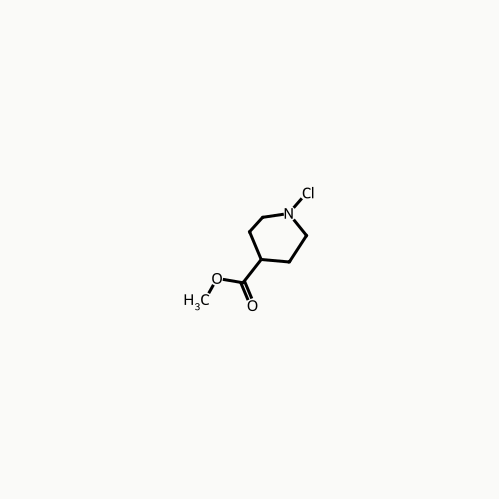 COC(=O)C1CCN(Cl)CC1